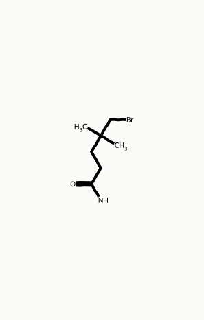 CC(C)(CBr)CCC([NH])=O